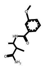 COc1cccc(C(=O)NC(C)C(C)C(N)=O)c1